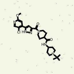 COc1cc(-c2cc(C(=O)N3CCC(C(=O)NC4CCN(C(C)(C)C)CC4)CC3)n[nH]2)c(Cl)cn1